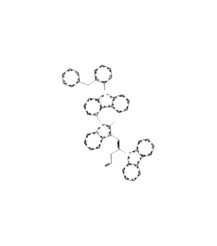 C=CC/C(=C\c1c(C)n(-c2cccc3c2c2ccccc2n3-c2ccccc2Cc2ccccc2)c2ccccc12)n1c2ccccc2c2ccccc21